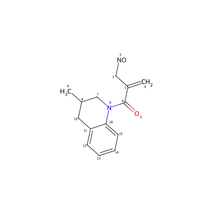 C=C(CN=O)C(=O)N1CC(C)Cc2ccccc21